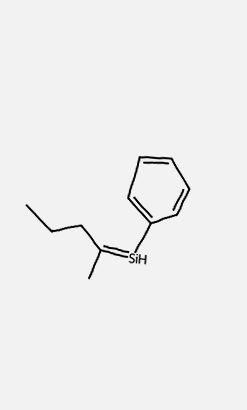 CCCC(C)=[SiH]c1ccccc1